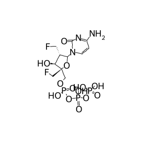 Nc1ccn(C2O[C@](CF)(COP(=O)(O)OP(=O)(O)OP(=O)(O)O)[C@@H](O)[C@@H]2CF)c(=O)n1